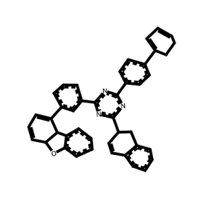 C1=CCCC(c2ccc(-c3nc(-c4cccc(C5=CC=CC6Oc7ccccc7C56)c4)nc(C4C=Cc5ccccc5C4)n3)cc2)=C1